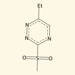 CCc1cnc(S(C)(=O)=O)nn1